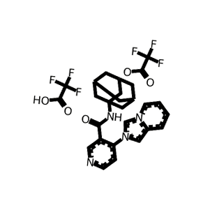 O=C(NC12CC3CC(CC(C3)C1)C2)c1cnccc1-[n+]1cc2ccccn2c1.O=C(O)C(F)(F)F.O=C([O-])C(F)(F)F